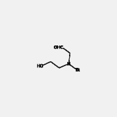 CCN(CC=O)CCO